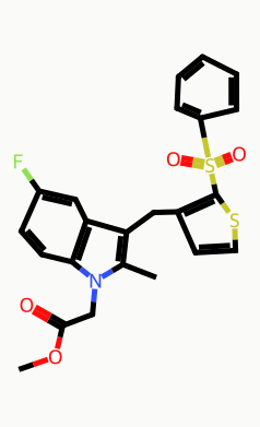 COC(=O)Cn1c(C)c(Cc2ccsc2S(=O)(=O)c2ccccc2)c2cc(F)ccc21